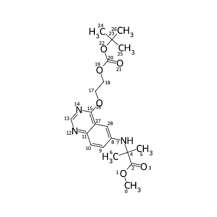 COC(=O)C(C)(C)Nc1ccc2ncnc(OCCOC(=O)OC(C)(C)C)c2c1